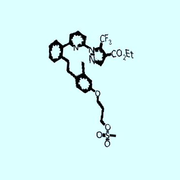 CCOC(=O)c1cnn(-c2cccc(-c3ccccc3CCc3ccc(OCCCOS(C)(=O)=O)cc3C)n2)c1C(F)(F)F